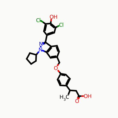 CC(CC(=O)O)c1ccc(OCc2ccc3c(-c4cc(Cl)c(O)c(Cl)c4)nn(C4CCCC4)c3c2)cc1